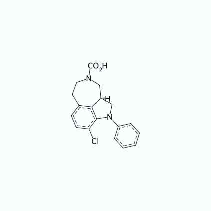 O=C(O)N1CCc2ccc(Cl)c3c2[C@@H](C1)CN3c1ccccc1